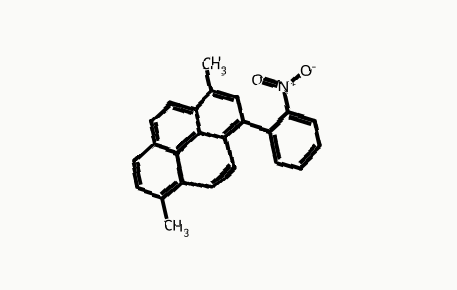 Cc1ccc2ccc3c(C)cc(-c4ccccc4[N+](=O)[O-])c4ccc1c2c34